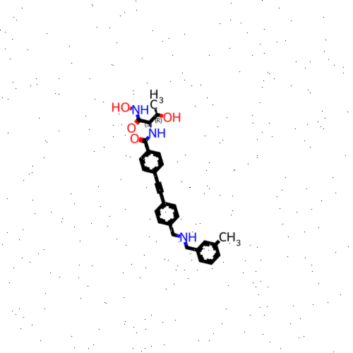 Cc1cccc(CNCc2ccc(C#Cc3ccc(C(=O)N[C@H](C(=O)NO)[C@@H](C)O)cc3)cc2)c1